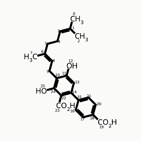 CC(C)=CCC/C(C)=C/Cc1c(O)cc(-c2ccc(C(=O)O)cc2)c(C(=O)O)c1O